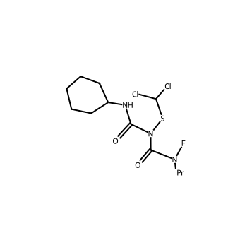 CC(C)N(F)C(=O)N(SC(Cl)Cl)C(=O)NC1CCCCC1